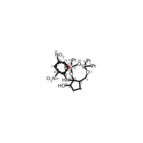 CC(C)[Si]1(C(C)C)OCC2CCC(O)C2(Nc2ccc([N+](=O)[O-])cc2[N+](=O)[O-])O[Si](C(C)C)(C(C)C)O1